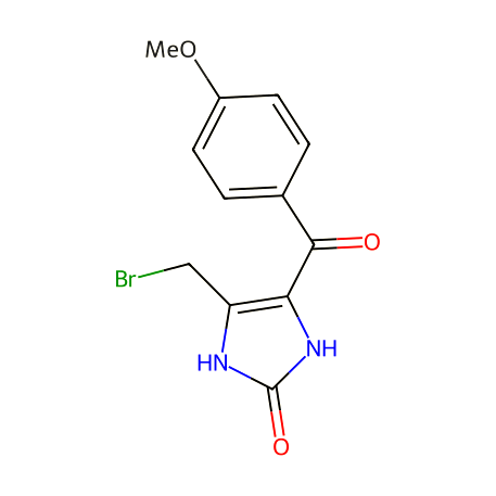 COc1ccc(C(=O)c2[nH]c(=O)[nH]c2CBr)cc1